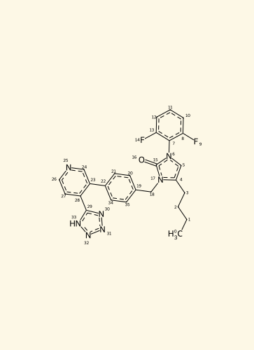 CCCCc1cn(-c2c(F)cccc2F)c(=O)n1Cc1ccc(-c2cnccc2-c2nnn[nH]2)cc1